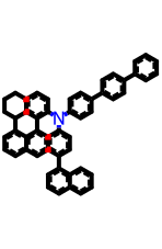 c1ccc(-c2ccc(-c3ccc(N(c4ccc(-c5cccc6ccccc56)cc4)c4ccccc4-c4cccc5cccc(C6CCCCC6)c45)cc3)cc2)cc1